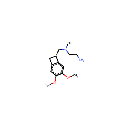 COc1cc2c(cc1OC)[C@H](CN(C)CCN)C2